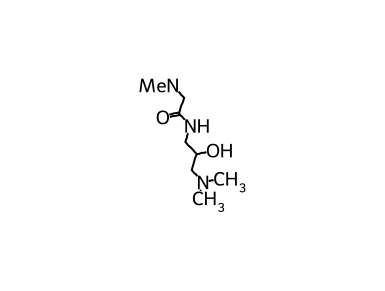 CNCC(=O)NCC(O)CN(C)C